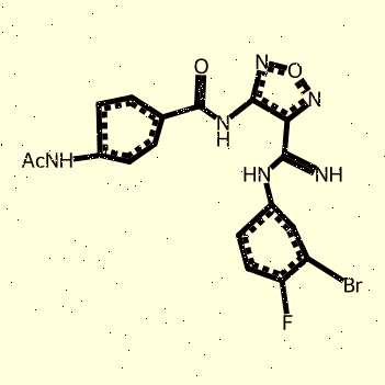 CC(=O)Nc1ccc(C(=O)Nc2nonc2C(=N)Nc2ccc(F)c(Br)c2)cc1